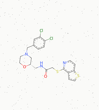 O=C(CSc1nccc2sccc12)NC[C@H]1CN(Cc2ccc(Cl)c(Cl)c2)CCO1